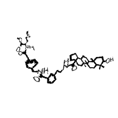 COC(=O)[C@@H](CCSC)NC(=O)c1ccc(CNC(=O)c2cccc(CCNC(=O)C34CCCC3C3CCC5C6(C)CCC(O)C(C)(C)C6CCC5(C)[C@]3(C)CC4)c2)cc1